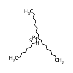 CCCCCCCC[PH](CCCCCCCC)(CCCCCCCC)P=S